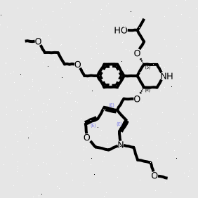 COCCCOCc1ccc(C2[C@@H](OCC3=C/C=C/OCCN(CCCOC)\C=C\3)CNC[C@H]2OCC(C)O)cc1